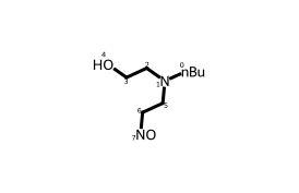 CCCCN(CCO)CCN=O